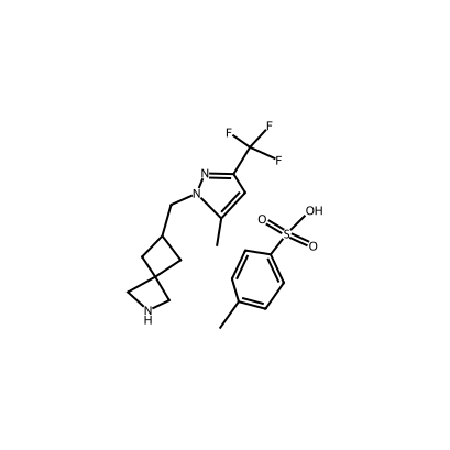 Cc1cc(C(F)(F)F)nn1CC1CC2(CNC2)C1.Cc1ccc(S(=O)(=O)O)cc1